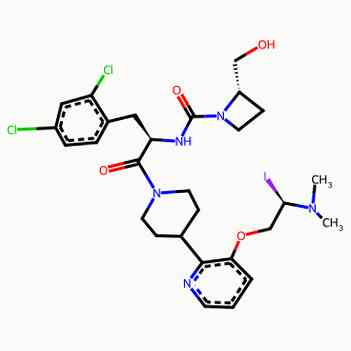 CN(C)[C@H](I)COc1cccnc1C1CCN(C(=O)[C@@H](Cc2ccc(Cl)cc2Cl)NC(=O)N2CC[C@H]2CO)CC1